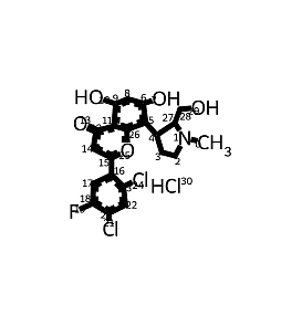 CN1CCC(c2c(O)cc(O)c3c(=O)cc(-c4cc(F)c(Cl)cc4Cl)oc23)C1CO.Cl